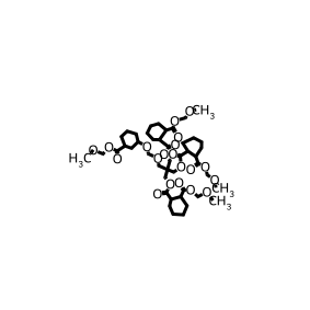 COCOC(=O)C1CCCC(OCOCC(COC(=O)C2CCCCC2C(=O)OCOC)(COC(=O)C2CCCCC2C(=O)OCOC)COC(=O)C2CCCCC2C(=O)OCOC)C1